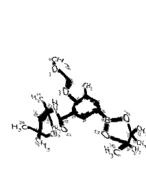 COCOc1c(C)cc(B2OC(C)(C)C(C)(C)O2)cc1C(=O)NC(C)(C)CC(C)(C)C